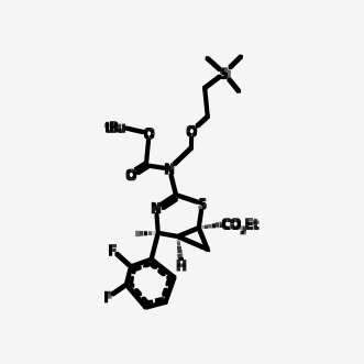 CCOC(=O)[C@]12C[C@H]1[C@@](C)(c1cccc(F)c1F)N=C(N(COCC[Si](C)(C)C)C(=O)OC(C)(C)C)S2